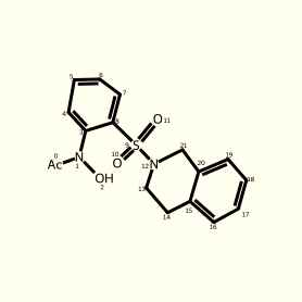 CC(=O)N(O)c1ccccc1S(=O)(=O)N1CCc2ccccc2C1